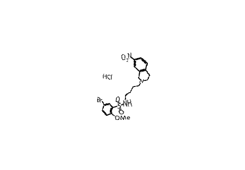 COc1ccc(Br)cc1S(=O)(=O)NCCCCN1CCc2ccc([N+](=O)[O-])cc2C1.Cl